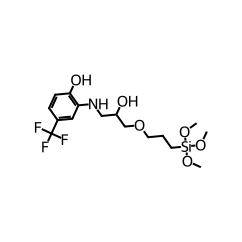 CO[Si](CCCOCC(O)CNc1cc(C(F)(F)F)ccc1O)(OC)OC